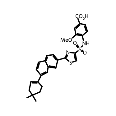 COc1cc(C(=O)O)ccc1NS(=O)(=O)c1csc(-c2ccc3ccc(C4=CCC(C)(C)CC4)cc3c2)n1